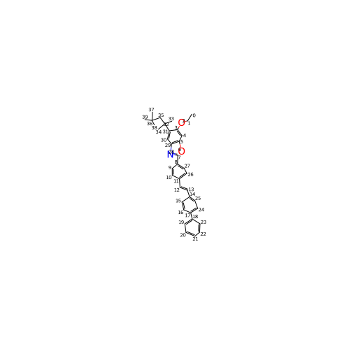 CCOc1cc2oc(-c3ccc(/C=C/c4ccc(-c5ccccc5)cc4)cc3)nc2cc1C(C)(C)CC(C)(C)C